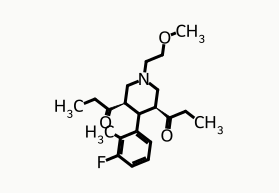 CCC(=O)[C@H]1CN(CCOC)C[C@@H](C(=O)CC)C1c1cccc(F)c1C